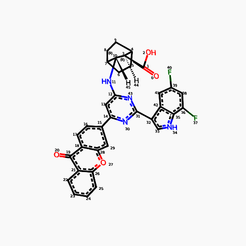 O=C(O)[C@@H]1C2CCC(CC2)[C@H]1Nc1cc(-c2ccc3c(=O)c4ccccc4oc3c2)nc(-c2c[nH]c3c(F)cc(F)cc23)n1